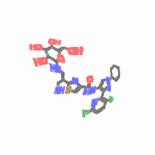 N=C/C(=C\NC1OC(CO)C(O)C(O)C1O)c1nc(C(=O)Nc2cn(C3CCCCC3)nc2-c2nc(F)ccc2F)cs1